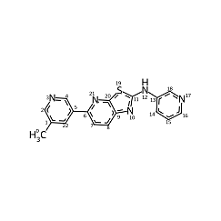 Cc1cncc(-c2ccc3nc(Nc4cccnc4)sc3n2)c1